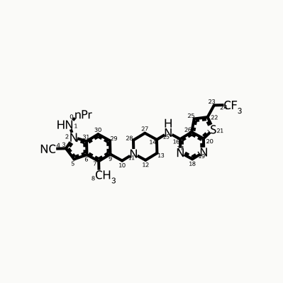 CCCNn1c(C#N)cc2c(C)c(CN3CCC(Nc4ncnc5sc(CC(F)(F)F)cc45)CC3)ccc21